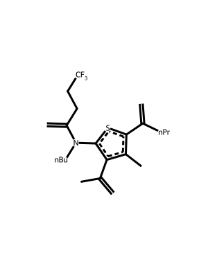 C=C(CCC)c1sc(N(CCCC)C(=C)CCC(F)(F)F)c(C(=C)C)c1C